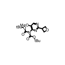 COc1cnc(C2COC2)nc1N(C(=O)OC(C)(C)C)C(=O)OC(C)(C)C